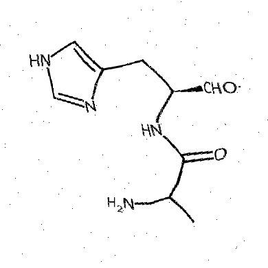 CC(N)C(=O)N[C@H]([C]=O)Cc1c[nH]cn1